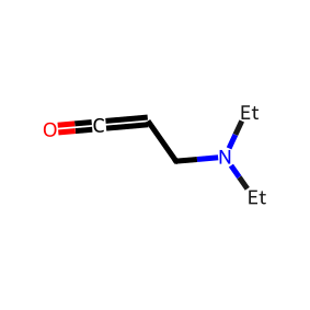 CCN(CC)CC=C=O